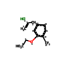 C=CC.Cl.O=C(O)COc1ccccc1C(F)(F)F